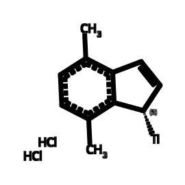 Cc1ccc(C)c2c1C=C[C@@H]2[Ti].Cl.Cl